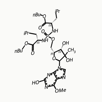 CCCCOC(=O)[C@H](CC(C)C)NP(=O)(N[C@@H](CC(C)C)C(=O)OCCCC)OC[C@H]1OC(n2cnc3c(OC)nc(O)nc32)C(C)(O)[C@H]1O